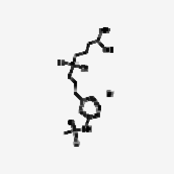 CCCC(O)CCC[N+](CC)(CC)CCCc1cccc(NS(C)(=O)=O)c1.[Br-]